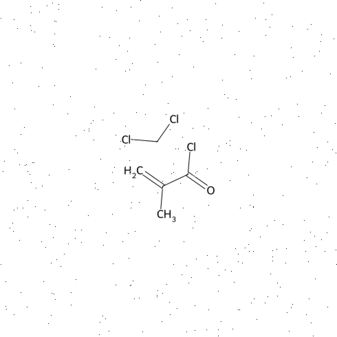 C=C(C)C(=O)Cl.ClCCl